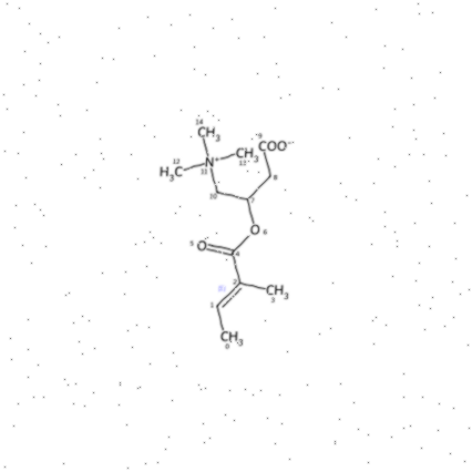 C/C=C(\C)C(=O)OC(CC(=O)[O-])C[N+](C)(C)C